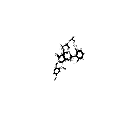 COc1ccc(CN2Cc3nc(-c4c(F)cccc4F)nc(N[C@@H](C)C(C)OC(C)C)c3C2=O)c(OC)c1